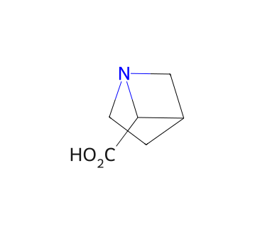 O=C(O)C1C2CCN1C2